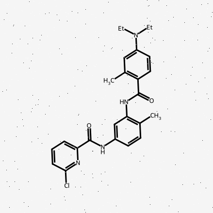 CCN(CC)c1ccc(C(=O)Nc2cc(NC(=O)c3cccc(Cl)n3)ccc2C)c(C)c1